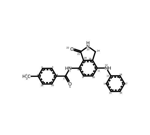 Cc1ccc(C(=O)Nc2ccc(Nc3ccccc3)c3c2C(=O)NC3)cc1